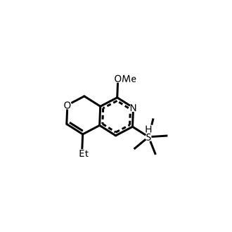 CCC1=COCc2c1cc([SH](C)(C)(C)C)nc2OC